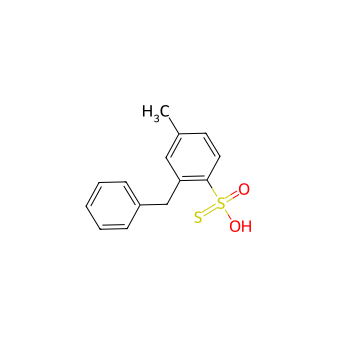 Cc1ccc(S(=O)(O)=S)c(Cc2ccccc2)c1